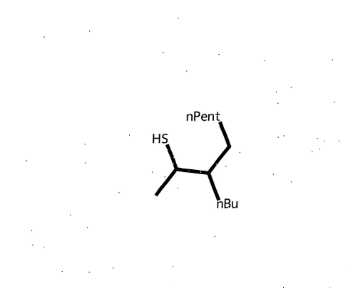 CCCCCCC(CCCC)C(C)S